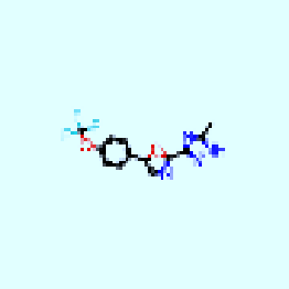 Cc1nc(-c2ncc(-c3ccc(OC(F)(F)F)cc3)o2)n[nH]1